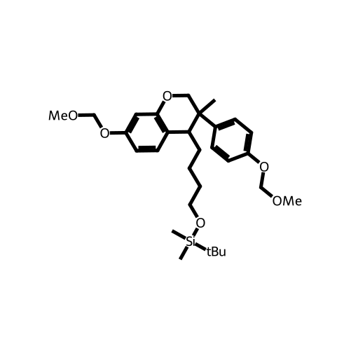 COCOc1ccc(C2(C)COc3cc(OCOC)ccc3C2CCCCO[Si](C)(C)C(C)(C)C)cc1